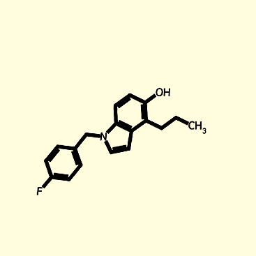 CCCc1c(O)ccc2c1ccn2Cc1ccc(F)cc1